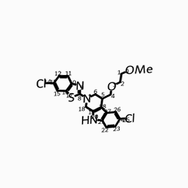 COCCOCC1CN(c2nc3ccc(Cl)cc3s2)Cc2[nH]c3ccc(Cl)cc3c21